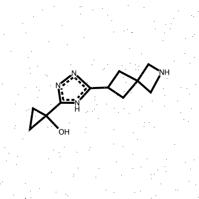 OC1(c2nnc(C3CC4(CNC4)C3)[nH]2)CC1